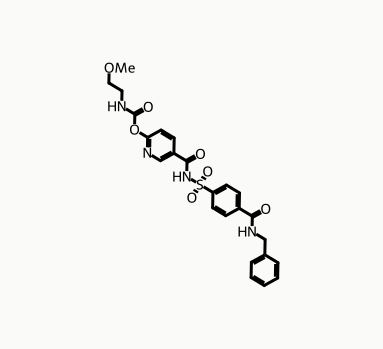 COCCNC(=O)Oc1ccc(C(=O)NS(=O)(=O)c2ccc(C(=O)NCc3ccccc3)cc2)cn1